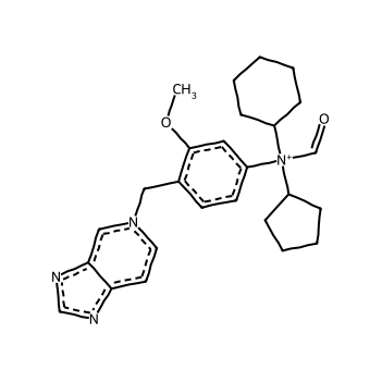 COc1cc([N+](C=O)(C2CCCCC2)C2CCCC2)ccc1Cn1ccc2ncnc-2c1